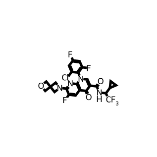 O=C(NC(C1CC1)C(F)(F)F)c1cn(-c2c(F)cc(F)cc2Cl)c2nc(N3CC4(COC4)C3)c(F)cc2c1=O